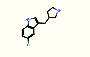 Clc1ccc2[nH]cc(CC3CCNC3)c2c1